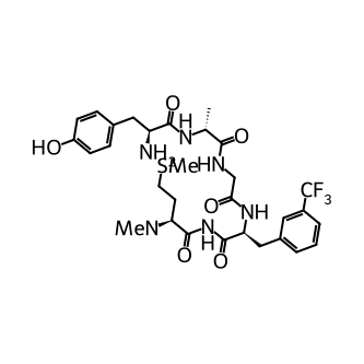 CN[C@@H](CCSC)C(=O)NC(=O)[C@H](Cc1cccc(C(F)(F)F)c1)NC(=O)CNC(=O)[C@@H](C)NC(=O)[C@@H](N)Cc1ccc(O)cc1